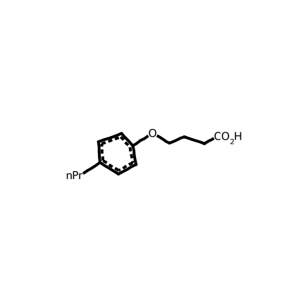 [CH2]CCc1ccc(OCCCC(=O)O)cc1